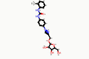 O=C(Nc1ccc(-n2c3c(COC4OC(CO)C(O)C4O)n2-3)cc1)Nc1ccccc1C(F)(F)F